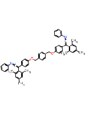 Cc1cc(C)c(C(=C=Nc2ccccc2)c2ccc(OCc3ccc(COc4ccc(C(=C=Nc5ccccc5)c5c(C)cc(C)cc5C)cc4)cc3)cc2)c(C)c1